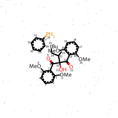 COc1cccc(OC)c1C(=O)C(O)(C(=O)c1c(OC)cccc1OC)C(C)CC(C)(C)C.Pc1ccccc1